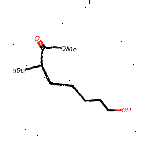 CCCCC(CCCCCO)C(=O)OC